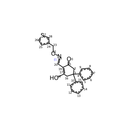 O=C1CC(c2ccccc2)(c2ccccc2)CC(O)=C1/C=N/OCc1ccsc1